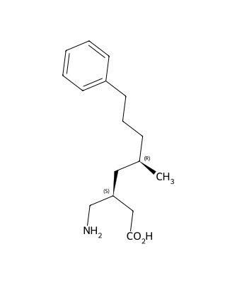 C[C@H](CCCc1ccccc1)C[C@H](CN)CC(=O)O